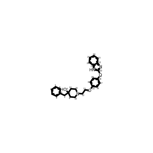 OC1(Cc2ccccc2)CCN(CCOc2ccc(Oc3nc4ccccc4[nH]3)cc2)CC1